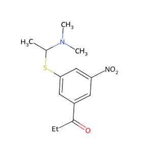 CCC(=O)c1cc(SC(C)N(C)C)cc([N+](=O)[O-])c1